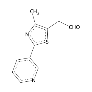 Cc1nc(-c2cccnc2)sc1CC=O